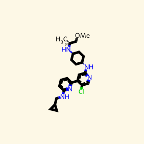 COC[C@@H](C)N[C@H]1CC[C@H](Nc2cc(-c3cccc(NCC4CC4)n3)c(Cl)cn2)CC1